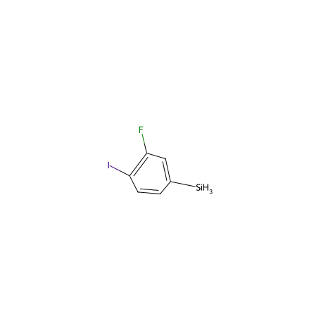 Fc1cc([SiH3])ccc1I